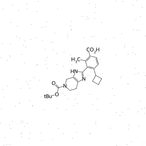 Cc1c(C(=O)O)ccc(C2CCC2)c1-c1nc2c([nH]1)CN(C(=O)OC(C)(C)C)CC2